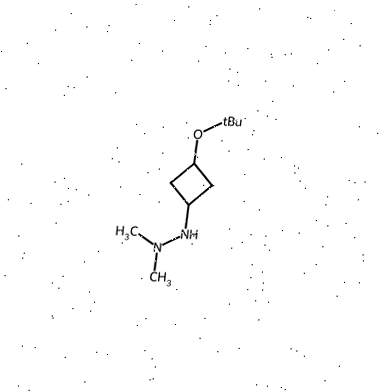 CN(C)NC1CC(OC(C)(C)C)C1